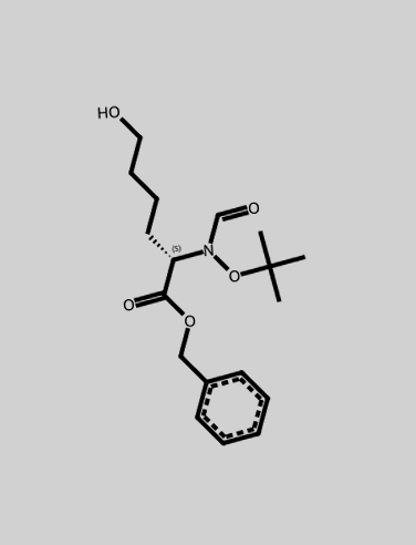 CC(C)(C)ON(C=O)[C@@H](CCCCO)C(=O)OCc1ccccc1